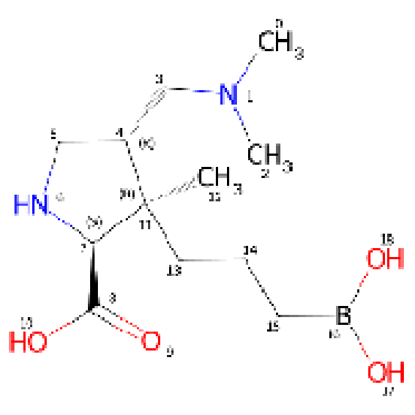 CN(C)C[C@H]1CN[C@H](C(=O)O)[C@]1(C)CCCB(O)O